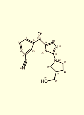 N#Cc1cccc(C(=O)c2cnc(N3CC[C@@H](CO)C3)s2)c1